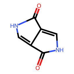 O=C1NC=C2C(=O)NC=C12